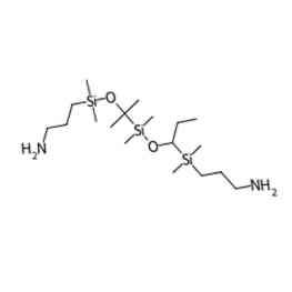 CCC(O[Si](C)(C)C(C)(C)O[Si](C)(C)CCCN)[Si](C)(C)CCCN